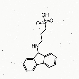 O=S(=O)(O)CCCNC1c2ccccc2-c2ccccc21